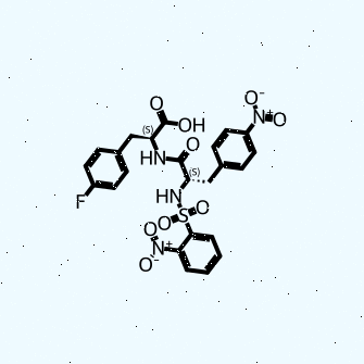 O=C(O)[C@H](Cc1ccc(F)cc1)NC(=O)[C@H](Cc1ccc([N+](=O)[O-])cc1)NS(=O)(=O)c1ccccc1[N+](=O)[O-]